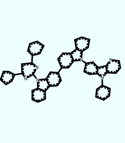 c1ccc(-c2cc(-c3ccccc3)nc(-n3c4ccccc4c4ccc(-c5ccc6c7ccccc7n(-c7ccc8c(c7)c7ncccc7n8-c7ccccc7)c6c5)cc43)n2)cc1